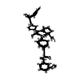 CC#CC(=O)N1CC[C@@H](n2c(=O)n(-c3ccc(C(=O)Nc4cccc(C#N)n4)cc3)c3c(N)ncnc32)C1